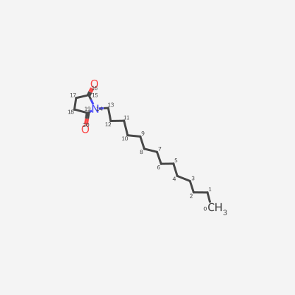 CCCCCCCCCCCCCCN1C(=O)CCC1=O